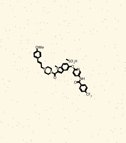 COc1ccc(/C=C/CN2CCN(C(=O)c3cc4cc(Oc5ccc(NC(=O)c6ccc(C(F)(F)F)cc6)cn5)ccc4n3C)CC2)cc1.CS(=O)(=O)O